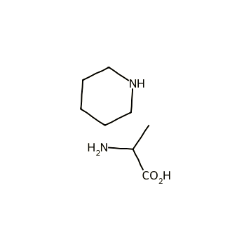 C1CCNCC1.CC(N)C(=O)O